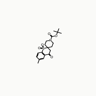 Cc1ccc2c(c1)C(=O)CC1(CCN(C(=O)OC(C)(C)C)CC1)S2(=O)=O